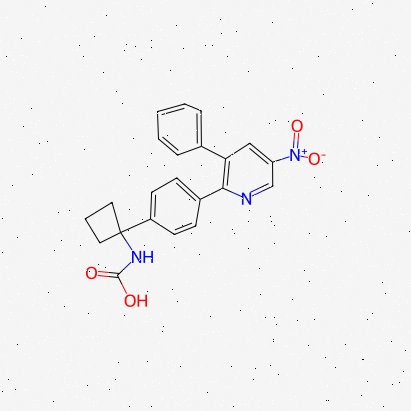 O=C(O)NC1(c2ccc(-c3ncc([N+](=O)[O-])cc3-c3ccccc3)cc2)CCC1